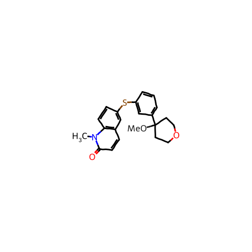 COC1(c2cccc(Sc3ccc4c(ccc(=O)n4C)c3)c2)CCOCC1